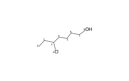 CCC(Cl)CCCCO